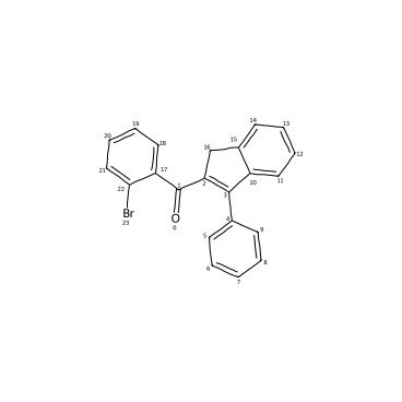 O=C(C1=C(c2ccccc2)c2ccccc2C1)c1ccccc1Br